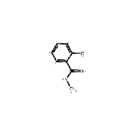 C[N]C(=O)c1ccccc1Cl